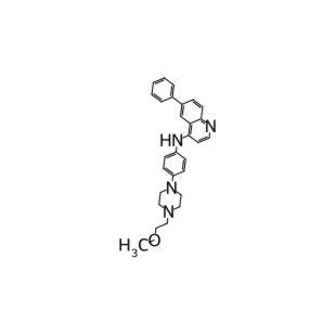 COCCN1CCN(c2ccc(Nc3ccnc4ccc(-c5ccccc5)cc34)cc2)CC1